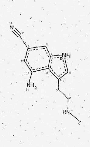 CNCCc1c[nH]c2cc(C#N)cc(N)c12